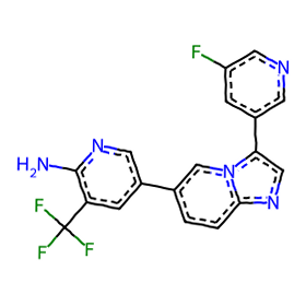 Nc1ncc(-c2ccc3ncc(-c4cncc(F)c4)n3c2)cc1C(F)(F)F